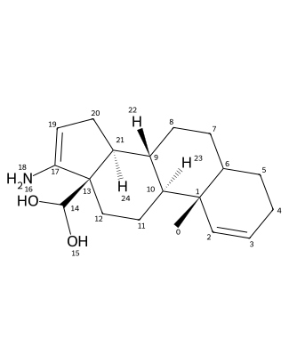 C[C@]12C=CCCC1CC[C@@H]1[C@@H]2CC[C@]2(C(O)O)C(N)=CC[C@@H]12